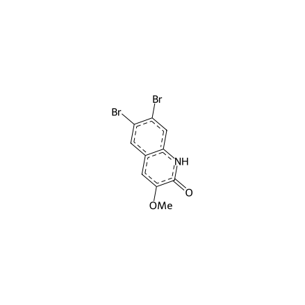 COc1cc2cc(Br)c(Br)cc2[nH]c1=O